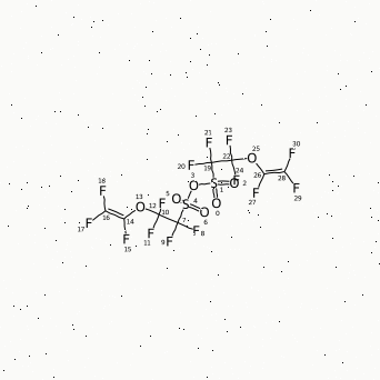 O=S(=O)(OS(=O)(=O)C(F)(F)C(F)(F)OC(F)=C(F)F)C(F)(F)C(F)(F)OC(F)=C(F)F